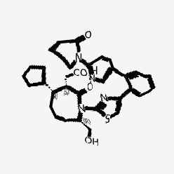 O=C(O)C[C@@H]1C(=O)N(c2nc(-c3ccccc3-c3ccc(N4CCCC4=O)nc3)cs2)[C@@H](CO)C=CC[C@@H]1C1CCCC1